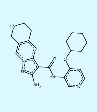 Nc1nn2cc3c(nc2c1C(=O)Nc1cnccc1OC1CCCCC1)CCNC3